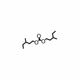 CCC(C)CCOC(=O)OCCC(C)CC